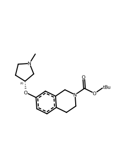 CN1CC[C@@H](Oc2ccc3c(c2)CN(C(=O)OC(C)(C)C)CC3)C1